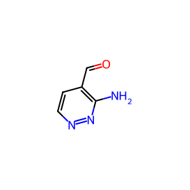 Nc1nnccc1C=O